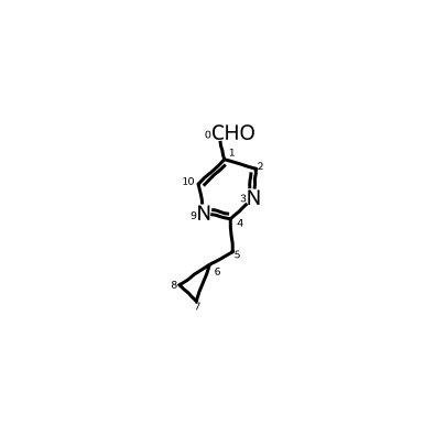 O=Cc1cnc(CC2CC2)nc1